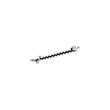 CCCCC(CC)COC(=O)CCCCCCCCCCCCCCCCCCCCCC(CC(=O)O)C(C)C